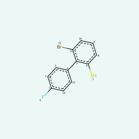 Fc1ccc(-c2c(S)cccc2Br)cc1